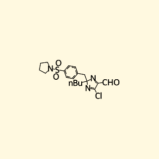 CCCCC1(Cc2ccc(S(=O)(=O)N3CCCC3)cc2)N=C(Cl)C(C=O)=N1